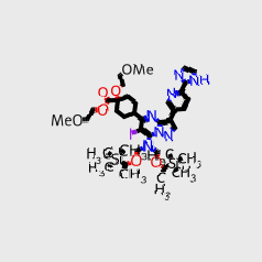 COCCOC(=O)C1(OCCOC)CCC(c2nc3c(-c4ccc(-c5ncc[nH]5)nc4)cnn3c(N(COC(C)[Si](C)(C)C)COC(C)[Si](C)(C)C)c2I)CC1